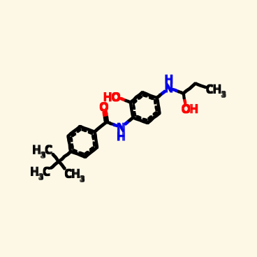 CCC(O)Nc1ccc(NC(=O)c2ccc(C(C)(C)C)cc2)c(O)c1